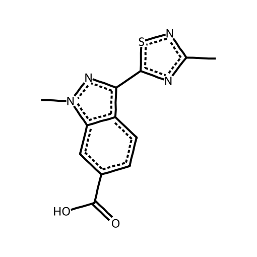 Cc1nsc(-c2nn(C)c3cc(C(=O)O)ccc23)n1